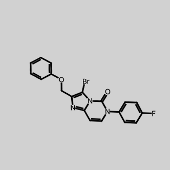 O=c1n(-c2ccc(F)cc2)ccc2nc(COc3ccccc3)c(Br)n12